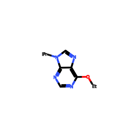 CCOc1ncnc2c1ncn2C(C)C